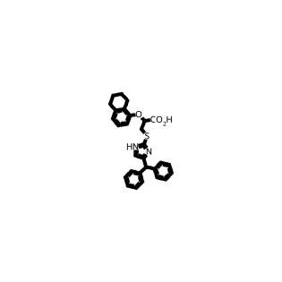 O=C(O)C(CSc1nc(C(c2ccccc2)c2ccccc2)c[nH]1)Oc1cccc2c1CCCC2